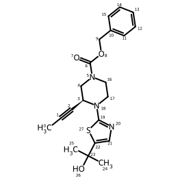 CC#C[C@H]1CN(C(=O)OCc2ccccc2)CCN1c1ncc(C(C)(C)O)s1